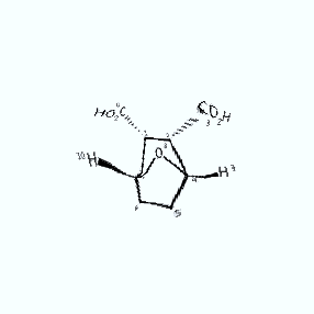 O=C(O)[C@@H]1[C@H](C(=O)O)[C@@H]2CC[C@H]1O2